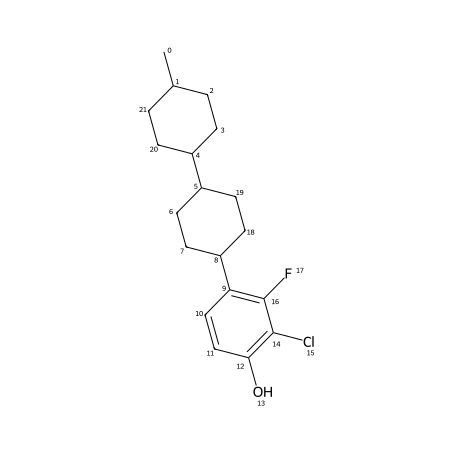 CC1CCC(C2CCC(c3ccc(O)c(Cl)c3F)CC2)CC1